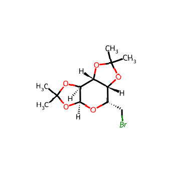 CC1(C)O[C@@H]2O[C@@H](CBr)[C@H]3OC(C)(C)O[C@H]3[C@@H]2O1